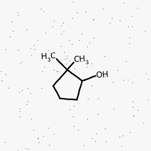 CC1(C)CCC[C]1O